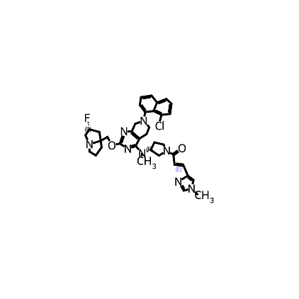 CN(c1nc(OCC23CCCN2C[C@H](F)C3)nc2c1CCN(c1cccc3cccc(Cl)c13)C2)[C@@H]1CCN(C(=O)/C=C/c2cn(C)cn2)C1